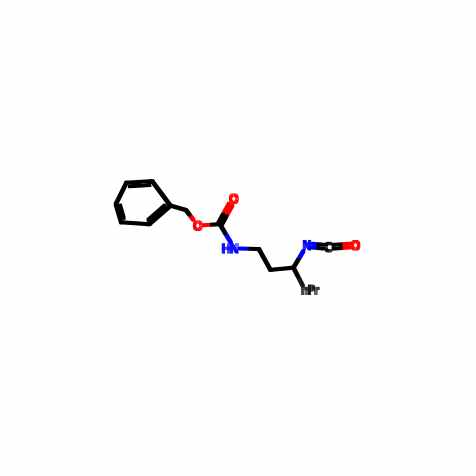 CCCC(CCNC(=O)OCc1ccccc1)N=C=O